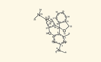 Cc1nc(N(C)C)nc2c1C1(OCc3ccccc31)c1ccc(N(C)C)cc1O2